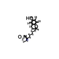 C/C=C(/CCCCCC1(C)CCc2c(C)c(O)c(C)c(C)c2O1)[N+](=O)[O-]